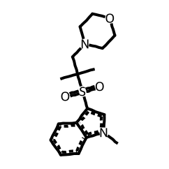 Cn1cc(S(=O)(=O)C(C)(C)CN2CCOCC2)c2ccccc21